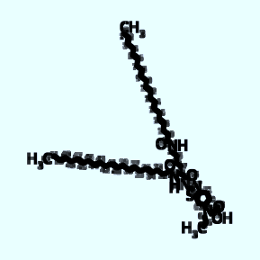 CCC=CCC=CCC=CCC=CCC=CCC=CCCC(=O)NCCCC[C@H](NC(=O)CCC=CCC=CCC=CCC=CCC=CCC=CCC)C(=O)Nc1nc2c(s1)C[C@H](N(CCC)C(=O)O)CC2